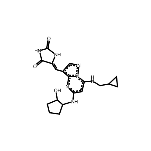 O=C1NC(=O)/C(=C/c2cnn3c(NCC4CC4)cc(NC4CCCC4O)nc23)N1